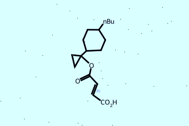 CCCCC1CCC(C2(OC(=O)/C=C/C(=O)O)CC2)CC1